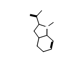 CC(=O)C1CC2CCC=CC2N1C